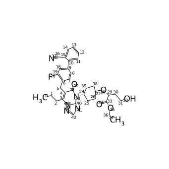 CCCc1c(Cc2ccc(-c3ccccc3C#N)cc2F)c(=O)n([C@H]2CC[C@H](OC(CCO)C(=O)OCC)CC2)c2ncnn12